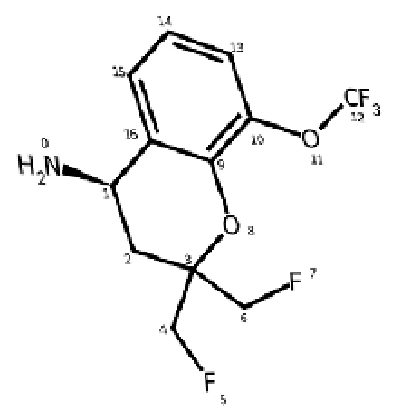 N[C@@H]1CC(CF)(CF)Oc2c(OC(F)(F)F)cccc21